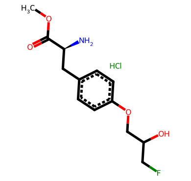 COC(=O)[C@@H](N)Cc1ccc(OCC(O)CF)cc1.Cl